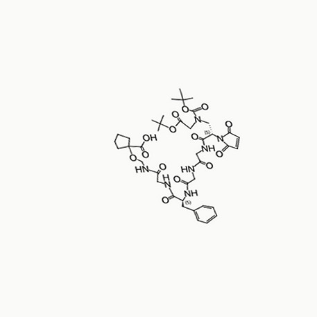 CC(C)(C)OC(=O)CN(C[C@@H](C(=O)NCC(=O)NCC(=O)N[C@@H](Cc1ccccc1)C(=O)NCC(=O)NCOC1(C(=O)O)CCCC1)N1C(=O)C=CC1=O)C(=O)OC(C)(C)C